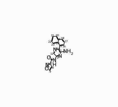 Nc1nc(NC(=O)c2ccon2)cnc1-c1cccc2ccccc12